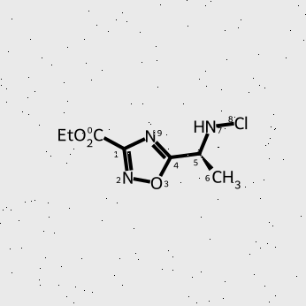 CCOC(=O)c1noc([C@H](C)NCl)n1